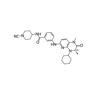 C[C@@H]1C(=O)N(C)c2ccc(Nc3cccc(C(=O)NC4CCN(C#N)CC4)c3)nc2N1C1CCCCC1